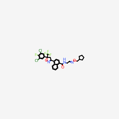 O=C(NC/C=N/OCC1CCCC1)c1ccc(C2=NOC(c3cc(Cl)c(F)c(Cl)c3)(C(F)(F)F)C2)c2ccccc12